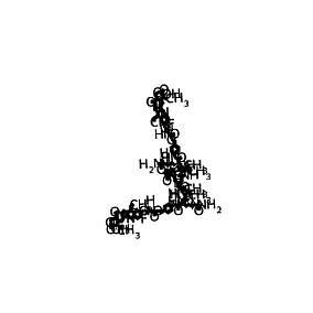 CCc1c2c(nc3cc(F)c(OCNC(=O)OCc4ccc(NC(=O)[C@H](CCCNC(N)=O)NC(=O)[C@@H](NC(=O)CN(CCN5C(=O)C=CC5=O)CC(=O)N[C@H](C(=O)N[C@@H](CCCNC(N)=O)C(=O)Nc5ccc(COC(=O)NCOc6cc7c(CC)c8c(nc7cc6F)-c6cc7c(c(=O)n6C8)COC(=O)[C@]7(O)CC)cc5)C(C)C)C(C)C)cc4)cc13)-c1cc3c(c(=O)n1C2)COC(=O)[C@]3(O)CC